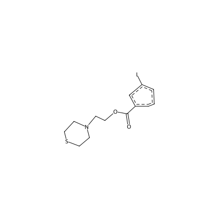 O=C(OCCN1CCSCC1)c1cccc(I)c1